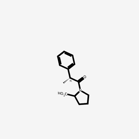 C[C@@H](C(=O)N1CCCC1C(=O)O)c1ccccc1